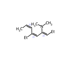 C\C=C/C(=C\C(=C\CC)N(C)C)CC